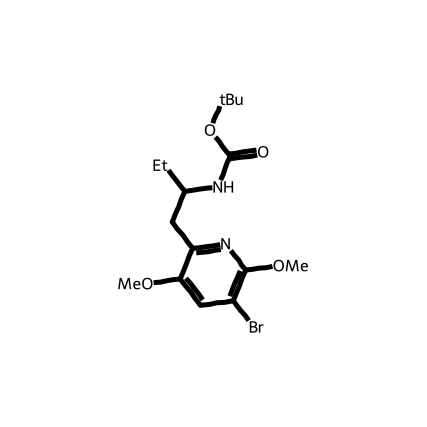 CCC(Cc1nc(OC)c(Br)cc1OC)NC(=O)OC(C)(C)C